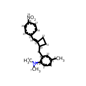 Cc1ccc(N(C)C)c(CC2CC/C2=C\c2ccc([N+](=O)[O-])cc2)c1